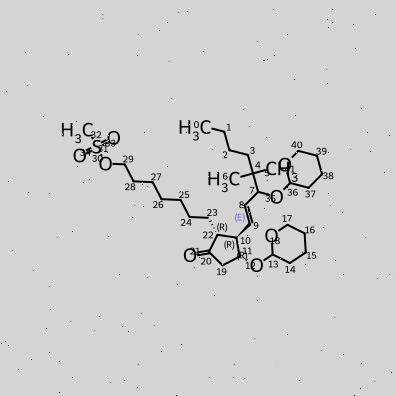 CCCCC(C)(C)C(/C=C/[C@H]1[C@H](OC2CCCCO2)CC(=O)[C@@H]1CCCCCCCOS(C)(=O)=O)OC1CCCCO1